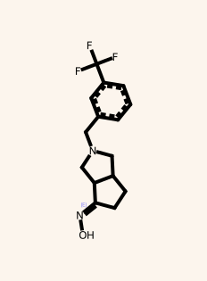 O/N=C1\CCC2CN(Cc3cccc(C(F)(F)F)c3)CC12